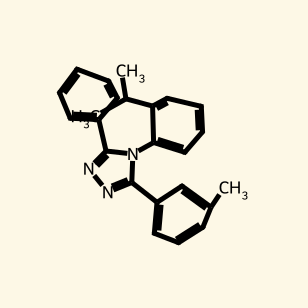 Cc1cccc(-c2nnc(-c3ccccc3)n2-c2ccccc2C(C)C)c1